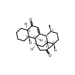 C[C@H]1CC[C@@H]2C(=O)C[C@@H]3C[C@@H]2N1C1=CC(=O)[C@@H]2CCCC[C@H]2[C@@H]13